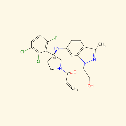 C=CC(=O)N1CC[C@](Nc2ccc3c(C)nn(CCO)c3c2)(c2c(F)ccc(Cl)c2Cl)C1